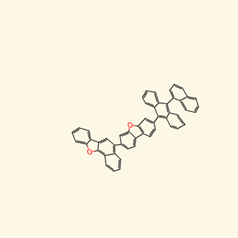 c1ccc2c(-c3c4ccccc4c(-c4ccc5c(c4)oc4cc(-c6cc7c8ccccc8oc7c7ccccc67)ccc45)c4ccccc34)cccc2c1